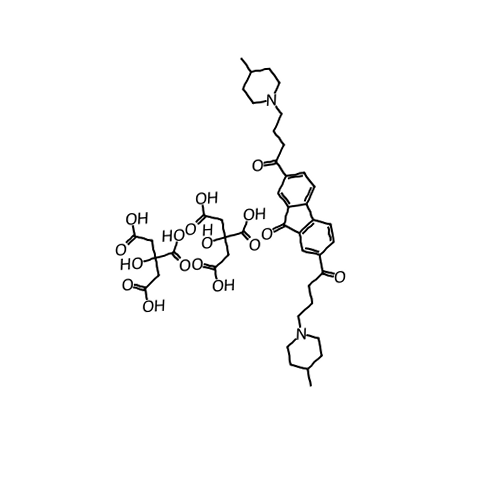 CC1CCN(CCCC(=O)c2ccc3c(c2)C(=O)c2cc(C(=O)CCCN4CCC(C)CC4)ccc2-3)CC1.O=C(O)CC(O)(CC(=O)O)C(=O)O.O=C(O)CC(O)(CC(=O)O)C(=O)O